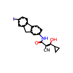 N#CC(C(=O)Nc1ccc2c(c1)Cc1cc(I)ccc1-2)=C(O)C1CC1